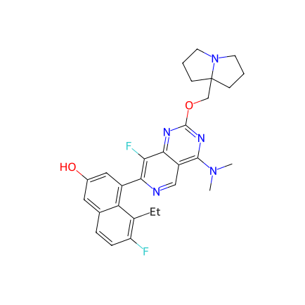 CCc1c(F)ccc2cc(O)cc(-c3ncc4c(N(C)C)nc(OCC56CCCN5CCC6)nc4c3F)c12